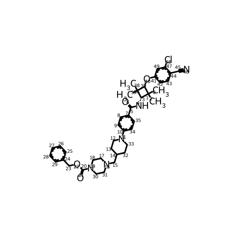 CC1(C)[C@H](NC(=O)c2ccc(N3CCC(CN4CCN(C(=O)OCc5ccccc5)CC4)CC3)cc2)C(C)(C)[C@H]1Oc1ccc(C#N)c(Cl)c1